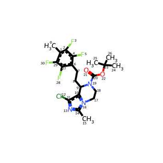 Cc1c(F)c(F)c(CCC2c3c(Cl)nc(C)n3CCN2C(=O)OC(C)(C)C)c(F)c1F